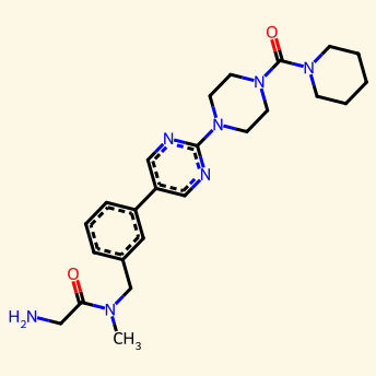 CN(Cc1cccc(-c2cnc(N3CCN(C(=O)N4CCCCC4)CC3)nc2)c1)C(=O)CN